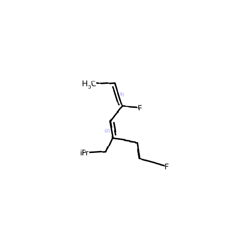 C/C=C(F)\C=C(/CCF)CC(C)C